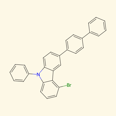 Brc1cccc2c1c1cc(-c3ccc(-c4ccccc4)cc3)ccc1n2-c1ccccc1